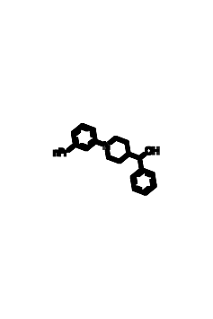 [CH2]CCc1cccc(N2CCC(C(O)c3ccccc3)CC2)c1